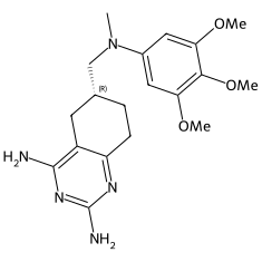 COc1cc(N(C)C[C@@H]2CCc3nc(N)nc(N)c3C2)cc(OC)c1OC